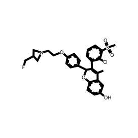 CC1=C(c2cccc(S(C)(=O)=O)c2Cl)C(c2ccc(OCCN3CC(CF)C3)cc2)Oc2ccc(O)cc21